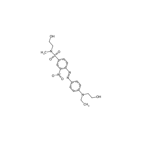 CCN(CCO)c1ccc(/N=N/c2ccc(S(=O)(=O)N(C)CCO)cc2[N+](=O)[O-])cc1